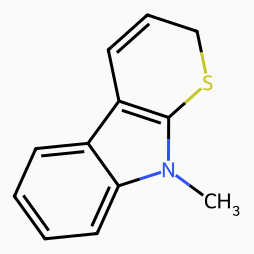 Cn1c2c(c3ccccc31)C=CCS2